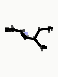 CO/N=C/C(CC(C)C)C(C)(C)C